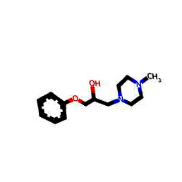 CN1CCN(CC(O)COc2ccccc2)CC1